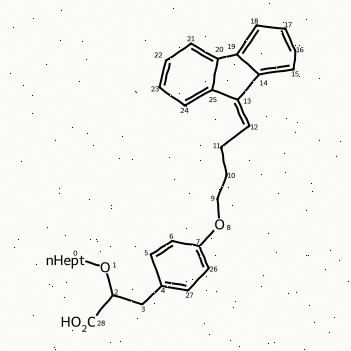 CCCCCCCOC(Cc1ccc(OCCCC=C2c3ccccc3-c3ccccc32)cc1)C(=O)O